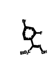 CCOC(=O)C(=NO)c1ccc(Br)cc1F